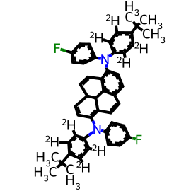 [2H]c1c([2H])c(C(C)(C)C)c([2H])c([2H])c1N(C1=C2C=Cc3ccc(N(c4ccc(F)cc4)c4c([2H])c([2H])c(C(C)(C)C)c([2H])c4[2H])c4c3C2C(C=C1)C=C4)c1ccc(F)cc1